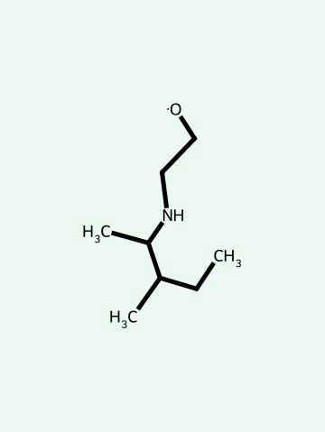 CCC(C)C(C)NCC[O]